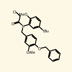 COc1cc(CN(C(=O)CCl)c2cc(C(C)(C)C)ccc2OC)ccc1OCc1ccccc1